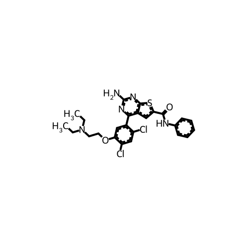 CCN(CC)CCOc1cc(-c2nc(N)nc3sc(C(=O)Nc4ccccc4)cc23)c(Cl)cc1Cl